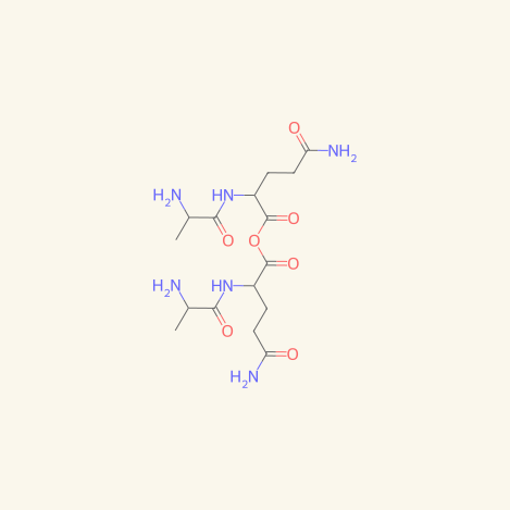 CC(N)C(=O)NC(CCC(N)=O)C(=O)OC(=O)C(CCC(N)=O)NC(=O)C(C)N